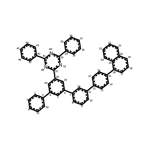 c1ccc(-c2cc(-c3cccc(-c4ccc(-c5cccc6ccccc56)cc4)c3)cc(-c3nc(-c4ccccc4)nc(-c4ccccc4)n3)c2)cc1